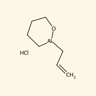 C=C[CH2][Al]1[CH2]CCC[O]1.Cl